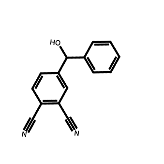 N#Cc1ccc(C(O)c2ccccc2)cc1C#N